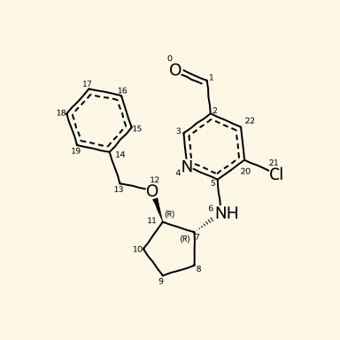 O=Cc1cnc(N[C@@H]2CCC[C@H]2OCc2ccccc2)c(Cl)c1